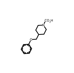 O=C(O)N1CCC(COc2ccccc2)CC1